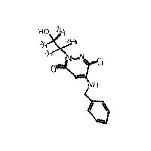 [2H]C([2H])(O)C([2H])([2H])n1nc(Cl)c(NCc2ccccc2)cc1=O